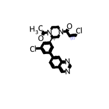 CC(=O)N1CCN(C(=O)/C=C\Cl)C[C@H]1c1cc(Cl)cc(-c2ccc3cncnc3c2)c1